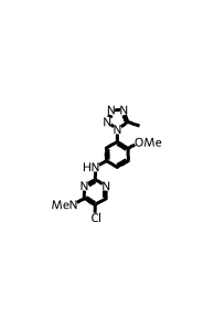 CNc1nc(Nc2ccc(OC)c(-n3nnnc3C)c2)ncc1Cl